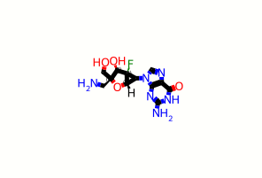 NC[C@]1(CO)O[C@H]2C(n3cnc4c(=O)[nH]c(N)nc43)[C@]2(F)[C@@H]1O